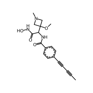 CC#CC#Cc1ccc(C(=O)NC(C(=O)NO)C2(OC)CN(C)C2)cc1